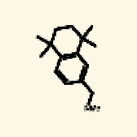 CNCc1ccc2c(c1)C(C)(C)CCC2(C)C